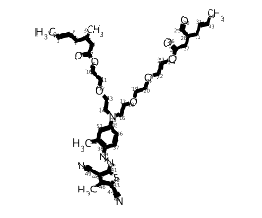 C/C=C/CC(C)CC(=O)OCCOCCN(CCOCCOCCOC(=O)CC(C=O)C/C=C/C)c1ccc(/N=N/c2sc(C#N)c(C)c2C#N)c(C)c1